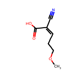 COCCC=C(C#N)C(=O)O